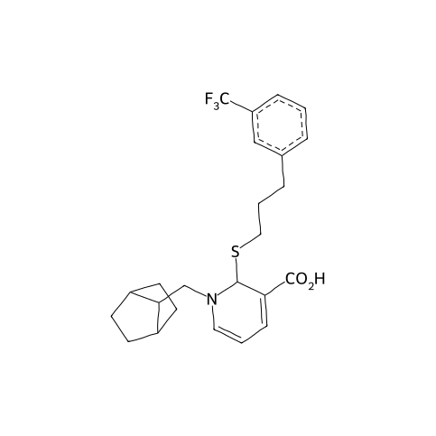 O=C(O)C1=CC=CN(CC2C3CCC2CC3)C1SCCCc1cccc(C(F)(F)F)c1